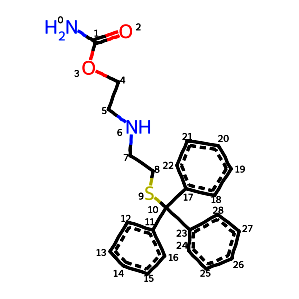 NC(=O)OCCNCCSC(c1ccccc1)(c1ccccc1)c1ccccc1